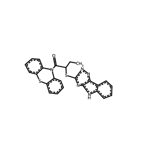 CCC(Sc1nnc2c(n1)[nH]c1ccccc12)C(=O)N1c2ccccc2Sc2ccccc21